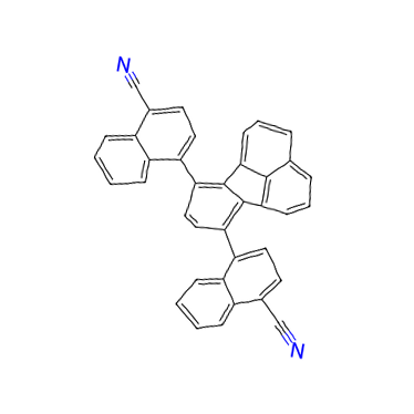 N#Cc1ccc(-c2ccc(-c3ccc(C#N)c4ccccc34)c3c2-c2cccc4cccc-3c24)c2ccccc12